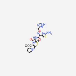 Nc1nc(C(=NOCc2nc[nH]n2)C(=O)N[C@@H]2C(=O)N3C(C(=O)[O-])=C(C[n+]4ccccc4)CS[C@@H]23)cs1